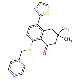 CC1(C)CC(=O)c2c(SCc3ccncc3)ccc(-c3nccs3)c2C1